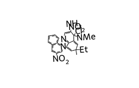 CCC1(C)C=CC2=NC=C([N+](=O)[O-])C(Cl)(NC)C2=C1.N.O=[N+]([O-])c1cnc2ccccc2c1